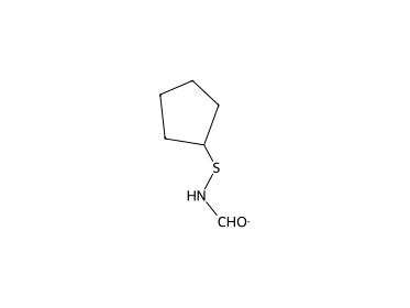 O=[C]NSC1CCCC1